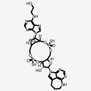 O=P1(S)OC[C@H]2O[C@@H](n3cc4c5c(ncnc53)NCCC4)[C@H](O)[C@@H]2OP(=O)(S)OC[C@H]2O[C@@H](n3cnc4c(NCCO)ncnc43)[C@H](O1)[C@@H]2O